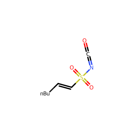 CCCCC=CS(=O)(=O)N=C=O